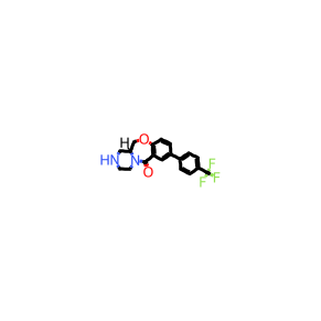 O=C1c2cc(-c3ccc(C(F)(F)F)cc3)ccc2OC[C@@H]2CNCCN12